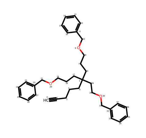 C#CCCCC(CCCOCc1ccccc1)(CCCOCc1ccccc1)CCOCc1ccccc1